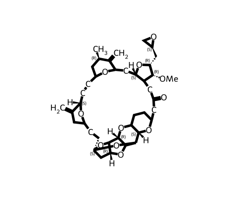 C=C1C2C[C@@H]3O[C@H](C[C@H]4CO4)[C@H](OC)C3CC(=O)CC3CCC4O[C@@H]5C6O[C@@H]7C[C@](CCC8CC(=C)[C@H](CCC(C[C@H]1C)O2)O8)(OC6[C@H]4O3)OC57